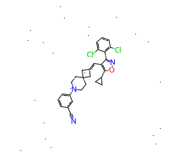 N#Cc1cccc(N2CCC3(CC2)CC(=Cc2c(-c4c(Cl)cccc4Cl)noc2C2CC2)C3)c1